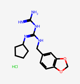 Cl.N=C(N)NC(=NC1CCCC1)NCc1ccc2c(c1)OCO2